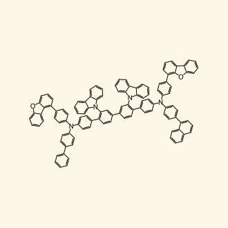 c1ccc(-c2ccc(N(c3ccc(-c4ccc(-c5ccc(-c6ccc(N(c7ccc(-c8cccc9ccccc89)cc7)c7ccc(-c8cccc9c8oc8ccccc89)cc7)cc6)c(-n6c7ccccc7c7ccccc76)c5)cc4-n4c5ccccc5c5ccccc54)cc3)c3ccc(-c4cccc5oc6ccccc6c45)cc3)cc2)cc1